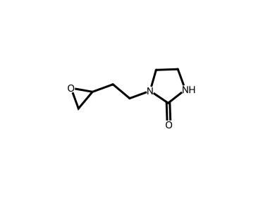 O=C1NCCN1CCC1CO1